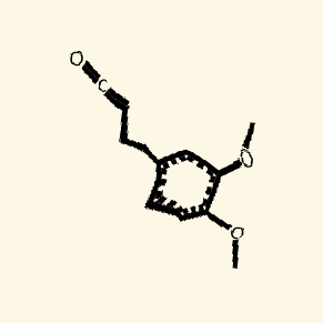 COc1ccc(CC=C=O)cc1OC